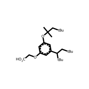 CC(C)(C)CC(c1cc(OCC(=O)O)cc(OC(C)(C)CC(C)(C)C)c1)C(C)(C)C